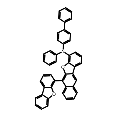 c1ccc(-c2ccc(N(c3ccccc3)c3cccc4c3oc3c(-c5cccc6c5oc5ccccc56)c5ccccc5cc34)cc2)cc1